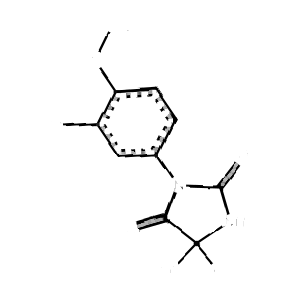 CC1(C)NC(=O)N(c2ccc(SC(F)(F)F)c(Cl)c2)C1=O